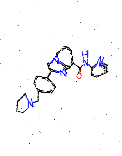 O=C(Nc1ccccn1)c1cccn2cc(-c3ccc(CN4CCCC4)cc3)nc12